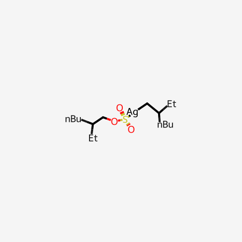 CCCCC(CC)CO[S](=O)(=O)[Ag][CH2]C(CC)CCCC